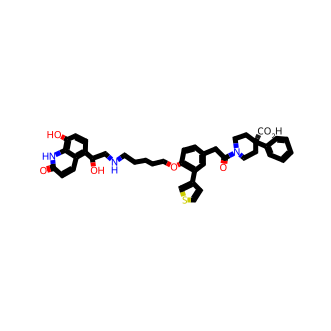 O=C(Cc1ccc(OCCCCCNCC(O)c2ccc(O)c3[nH]c(=O)ccc23)c(-c2ccsc2)c1)N1CCC(C(=O)O)(c2ccccc2)CC1